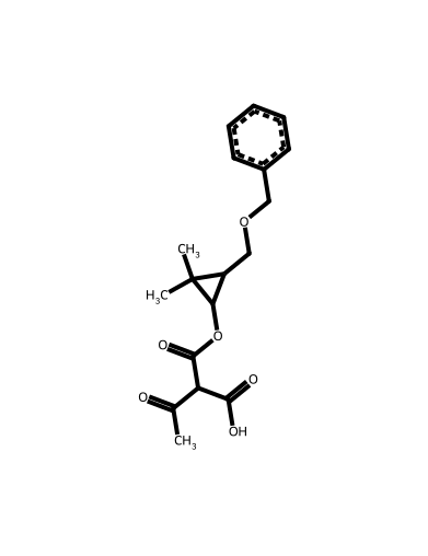 CC(=O)C(C(=O)O)C(=O)OC1C(COCc2ccccc2)C1(C)C